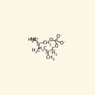 C[Si+](C)C.C[Si+](C)C.O=P([O-])([O-])[O-].[Na+]